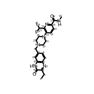 CCc1nc2ccc(CN3CCN(c4ccc(C(=O)NC)nc4C(F)F)CC3)cc2[nH]c1=O